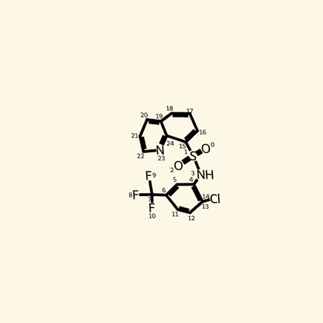 O=S(=O)(Nc1cc(C(F)(F)F)ccc1Cl)c1cccc2cccnc12